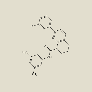 Cc1cc(NC(=O)N2CCCc3ccc(-c4cccc(F)c4)nc32)cc(C)n1